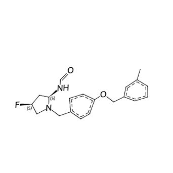 Cc1cccc(COc2ccc(CN3C[C@@H](F)C[C@H]3NC=O)cc2)c1